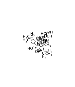 CC(C)(C)c1ccc(OC(c2ccc(C(C)(C)C)cc2C(C)(C)C)C(CO)(CO)CO)c(C(C)(C)C)c1.OP(O)O.OP(O)O